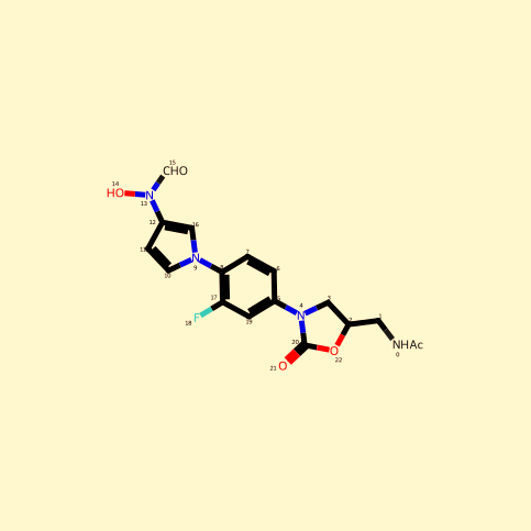 CC(=O)NCC1CN(c2ccc(-n3ccc(N(O)C=O)c3)c(F)c2)C(=O)O1